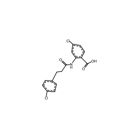 O=C(CCc1ccc(Cl)cc1)Nc1cc(Cl)ccc1C(=O)O